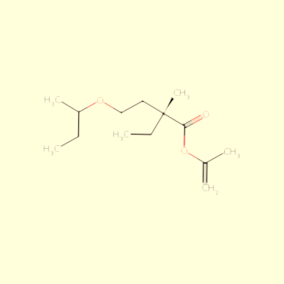 C=C(C)OC(=O)[C@](C)(CC)CCOC(C)CC